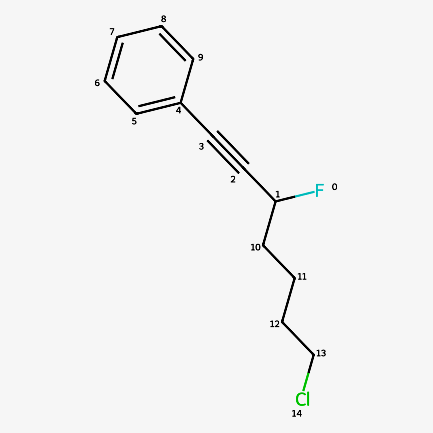 FC(C#Cc1ccccc1)CCCCCl